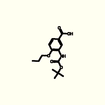 CCCOc1ccc(C(=O)O)cc1NC(=O)OC(C)(C)C